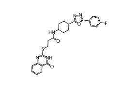 O=C(CCSc1nc2ccccc2c(=O)[nH]1)NC1CCC(c2nnc(-c3ccc(F)cc3)o2)CC1